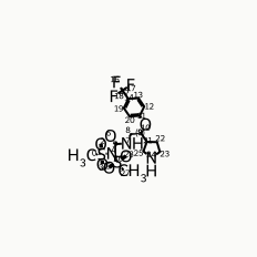 CS(=O)(=O)N(C(=O)NC[C@@H](Oc1ccc(C(F)(F)F)cc1)C1CCNC1)S(C)(=O)=O